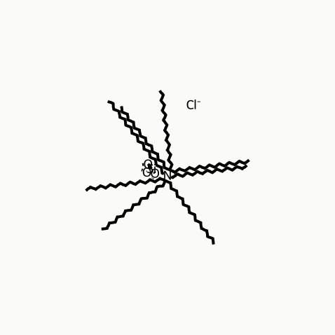 CCCCCCCCCCCCCCCCC(CC[N+](CCCCCCCCCCCCCCCC)(C(CCCCCCCCCCCCCCCC)(CCCCCCCCCCCCCCCC)CCCCCCCCCCCCCCCC)C(CCCCCCCCCCCCCCCC)(CCCCCCCCCCCCCCCC)CCCCCCCCCCCCCCCC)[Si](OC)(OC)OC.[Cl-]